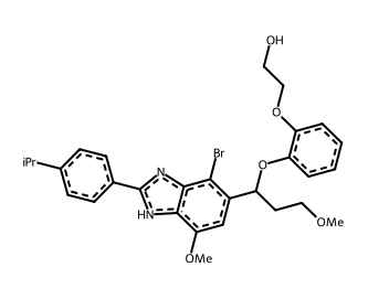 COCCC(Oc1ccccc1OCCO)c1cc(OC)c2[nH]c(-c3ccc(C(C)C)cc3)nc2c1Br